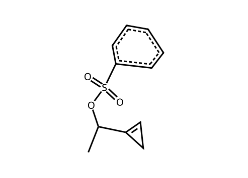 CC(OS(=O)(=O)c1ccccc1)C1=CC1